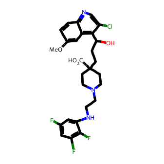 COc1ccc2ncc(Cl)c(C(O)CCC3(C(=O)O)CCN(CCNc4cc(F)cc(F)c4F)CC3)c2c1